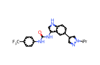 CC(C)n1cc(-c2ccc3[nH]cc(NC(=O)Nc4ccc(C(F)(F)F)cc4)c3c2)cn1